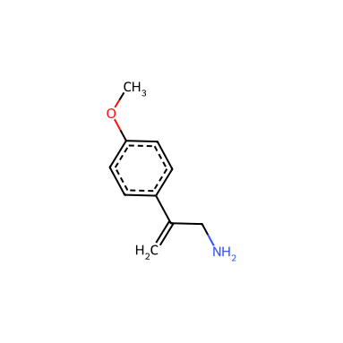 C=C(CN)c1ccc(OC)cc1